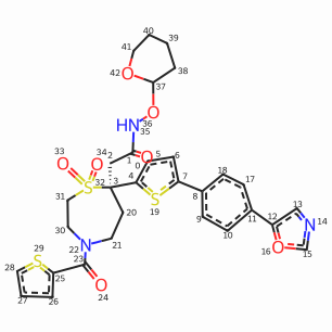 O=C(C[C@]1(c2ccc(-c3ccc(-c4cnco4)cc3)s2)CCN(C(=O)c2cccs2)CCS1(=O)=O)NOC1CCCCO1